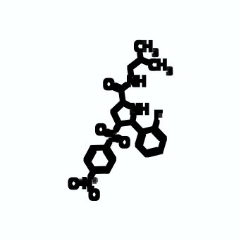 CC(C)CNC(=O)C1CC(S(=O)(=O)c2ccc([N+](=O)[O-])cc2)C(c2ccccc2F)N1